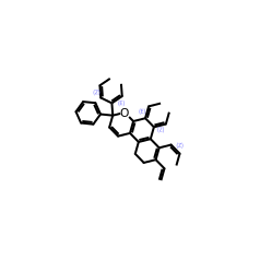 C=CC1=C(/C=C\C)c2c(c3c(c(=C/C)/c2=C\C)OC(C(/C=C\C)=C/C)(c2ccccc2)C=C3)CC1